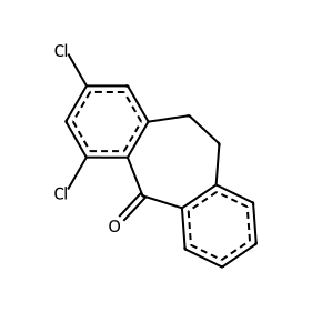 O=C1c2ccccc2CCc2cc(Cl)cc(Cl)c21